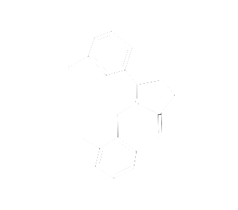 O=C1CSC(c2cccc(Cl)c2)N1Cc1ccccc1F